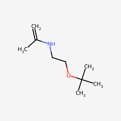 C=C(C)NCCOC(C)(C)C